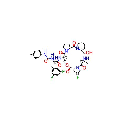 Cc1ccc(NC(=O)N[C@@H](Cc2cc(F)cc(F)c2)C(=O)N[C@H]2COC(=O)C3C[C@@H](F)CN3C(=O)[C@H](C)NC(O)C3CCCCN3C(=O)C3CCCN3C2=O)cc1